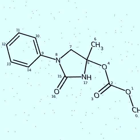 COC(=O)OC1(C)CN(c2ccccc2)C(=O)N1